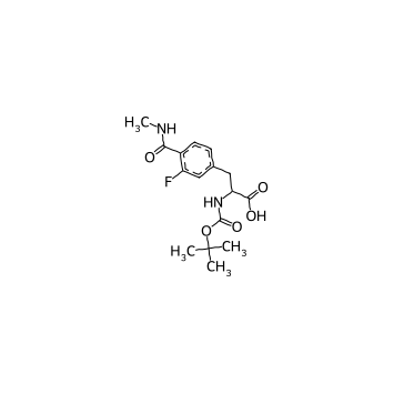 CNC(=O)c1ccc(CC(NC(=O)OC(C)(C)C)C(=O)O)cc1F